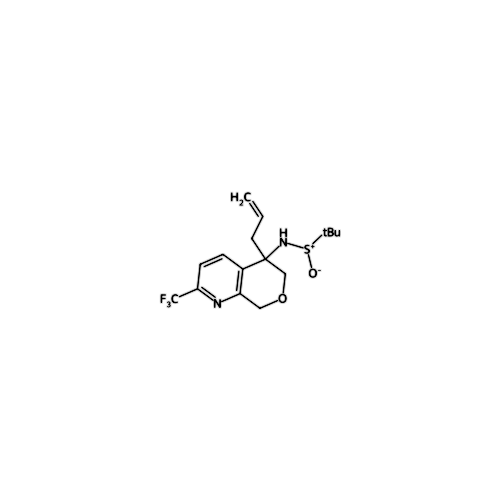 C=CCC1(N[S+]([O-])C(C)(C)C)COCc2nc(C(F)(F)F)ccc21